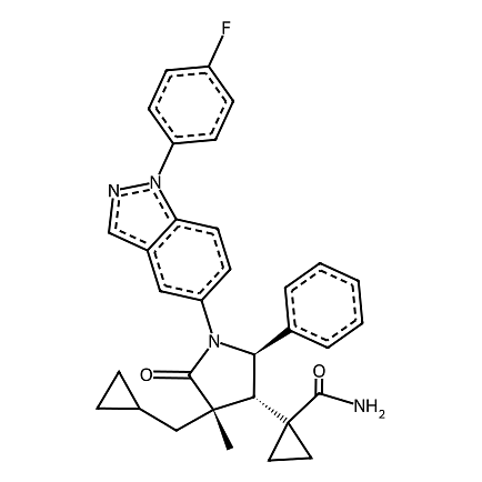 C[C@@]1(CC2CC2)C(=O)N(c2ccc3c(cnn3-c3ccc(F)cc3)c2)[C@@H](c2ccccc2)[C@@H]1C1(C(N)=O)CC1